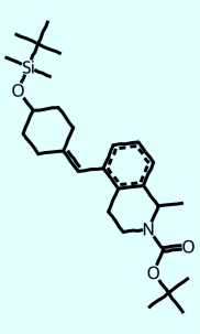 CC1c2cccc(C=C3CCC(O[Si](C)(C)C(C)(C)C)CC3)c2CCN1C(=O)OC(C)(C)C